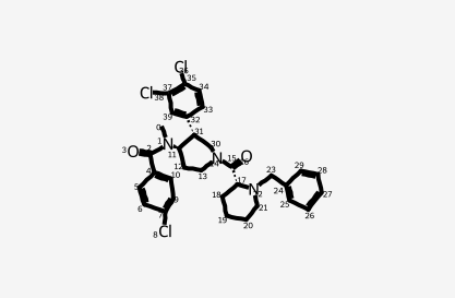 CN(C(=O)c1ccc(Cl)cc1)[C@@H]1CCN(C(=O)[C@H]2CCCCN2Cc2ccccc2)C[C@H]1c1ccc(Cl)c(Cl)c1